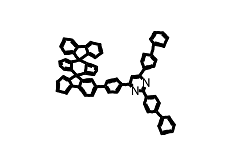 c1ccc(-c2ccc(-c3cc(-c4ccc(-c5ccc6c(c5)C5(c7ccccc7-6)c6ccccc6C6(c7ccccc7-c7ccccc76)c6ccccc65)cc4)nc(-c4ccc(-c5ccccc5)cc4)n3)cc2)cc1